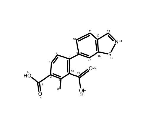 Cc1c(C(=O)O)ccc(-c2ccc3cnsc3c2)c1C(=O)O